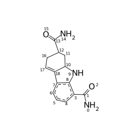 NC(=O)c1cccc2c1NC1CC(C(N)=O)CC=C21